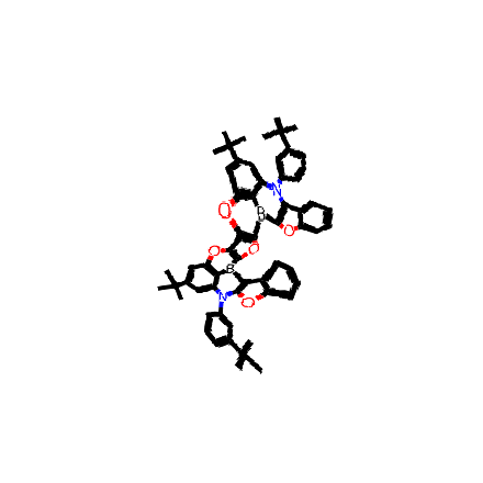 CC(C)(C)c1cccc(N2c3cc(C(C)(C)C)cc4c3B(c3oc5c(c3O4)Oc3cc(C(C)(C)C)cc4c3B5c3oc5ccccc5c3N4c3cccc(C(C)(C)C)c3)c3c2oc2ccccc32)c1